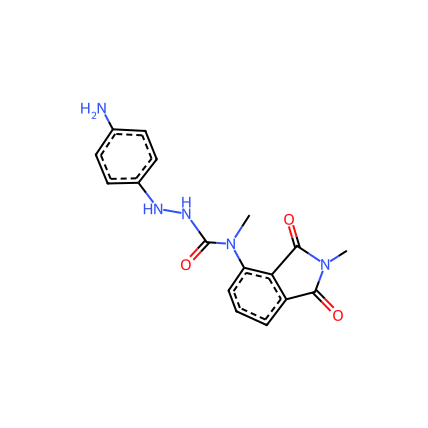 CN1C(=O)c2cccc(N(C)C(=O)NNc3ccc(N)cc3)c2C1=O